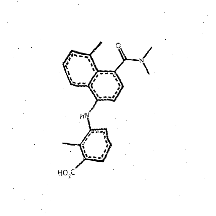 Cc1c(Nc2ccc(C(=O)N(C)C)c3c(C)cccc23)cccc1C(=O)O